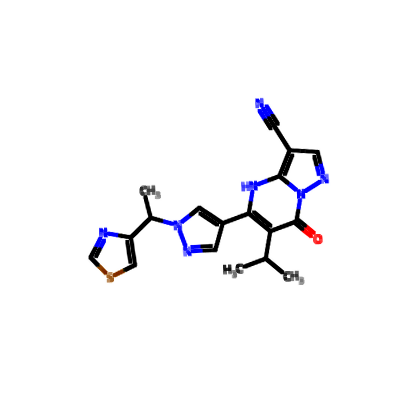 CC(C)c1c(-c2cnn(C(C)c3cscn3)c2)[nH]c2c(C#N)cnn2c1=O